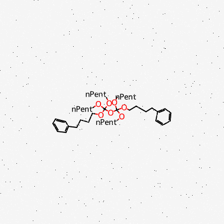 CCCCCOC(OCCCCC)(OCCCCc1ccccc1)OC(OCCCCC)(OCCCCC)OCCCCc1ccccc1